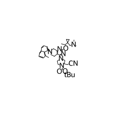 Cc1cccc2cccc(N3CCc4c(nc(OC(C)C5(CN(C)C)CC5)nc4N4CCN(C(=O)OC(C)(C)C)C(CC#N)C4)C3)c12